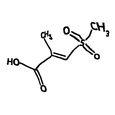 C/C(=C\S(C)(=O)=O)C(=O)O